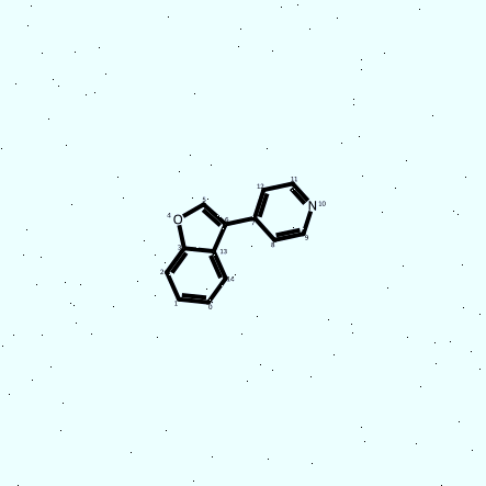 [c]1ccc2occ(-c3ccncc3)c2c1